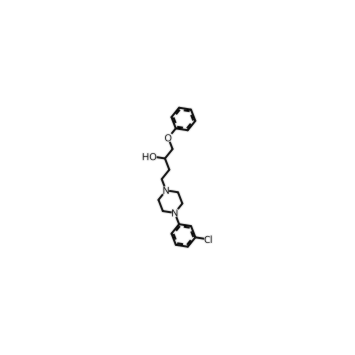 OC(CCN1CCN(c2cccc(Cl)c2)CC1)COc1ccccc1